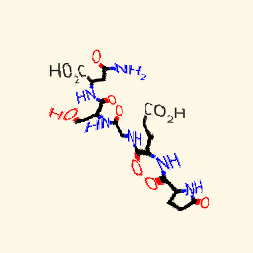 NC(=O)CC(NC(=O)C(CO)NC(=O)CNC(=O)C(CCC(=O)O)NC(=O)C1CCC(=O)N1)C(=O)O